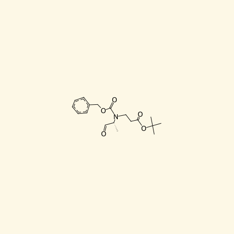 C[C@H](C=O)N(CCC(=O)OC(C)(C)C)C(=O)OCc1ccccc1